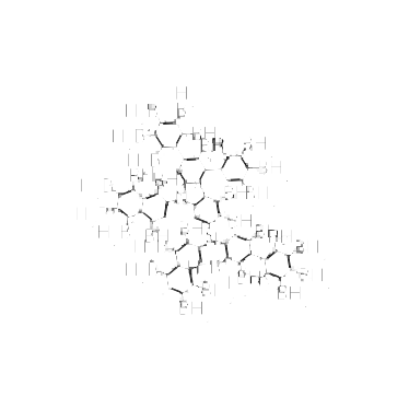 Bc1cc(-c2c(B)c(-c3c(B)c(B)c(B)c(B)c3B)cc3c2c2c(B)c(B)c(N(c4cc(B)c(-c5c(B)c(B)c(B)c(B)c5B)c(B)c4B)c4cc5c(B)c(B)cc(B)c5c(B)c4B)cc2n3-c2cc(B)c3c(B)c(B)c(B)c(B)c3c2B)c(B)c(B)c1B